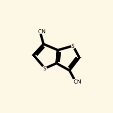 N#Cc1[c]sc2c(C#N)[c]sc12